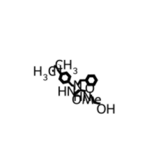 COC1=C(C(=O)NCCCO)N(Cc2ccccc2)C(c2ccc(N(C)C)cc2)N1